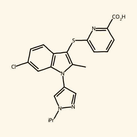 Cc1c(Sc2cccc(C(=O)O)n2)c2ccc(Cl)cc2n1-c1cnn(C(C)C)c1